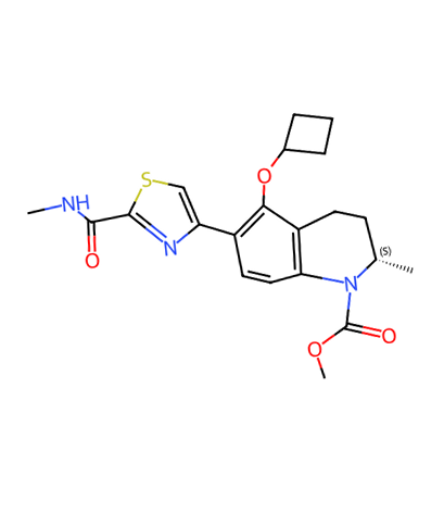 CNC(=O)c1nc(-c2ccc3c(c2OC2CCC2)CC[C@H](C)N3C(=O)OC)cs1